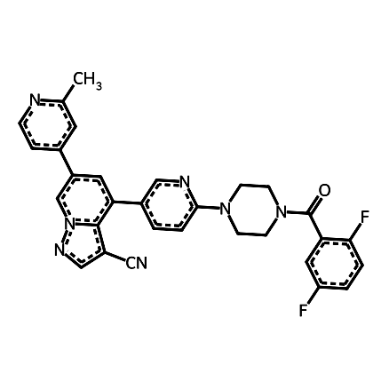 Cc1cc(-c2cc(-c3ccc(N4CCN(C(=O)c5cc(F)ccc5F)CC4)nc3)c3c(C#N)cnn3c2)ccn1